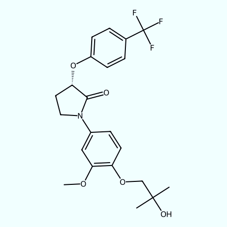 COc1cc(N2CC[C@H](Oc3ccc(C(F)(F)F)cc3)C2=O)ccc1OCC(C)(C)O